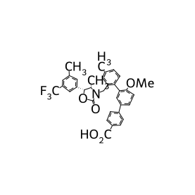 COc1ccc(-c2ccc(C(=O)O)cc2)cc1-c1ccc(C)cc1CN1C(=O)O[C@H](c2cc(C)cc(C(F)(F)F)c2)[C@@H]1C